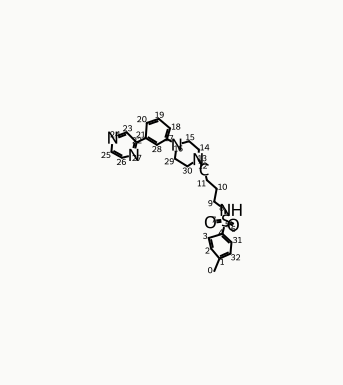 Cc1ccc(S(=O)(=O)NCCCCN2CCN(c3cccc(-c4cnccn4)c3)CC2)cc1